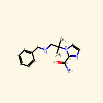 CC(C)(CNCc1ccccc1)n1c[c]nc1C(N)=O